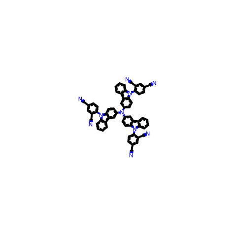 N#Cc1ccc(-n2c3ccccc3c3cc(N(c4ccc5c(c4)c4ccccc4n5-c4ccc(C#N)cc4C#N)c4ccc5c(c4)c4ccccc4n5-c4ccc(C#N)cc4C#N)ccc32)c(C#N)c1